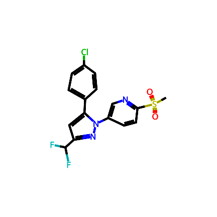 CS(=O)(=O)c1ccc(-n2nc(C(F)F)cc2-c2ccc(Cl)cc2)cn1